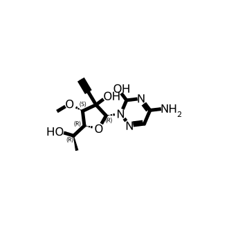 C#CC1(O)[C@@H](OC)[C@@H]([C@@H](C)O)O[C@H]1N1N=CC(N)=NC1O